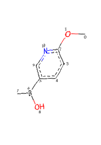 COc1ccc(B(C)O)cn1